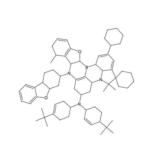 CC1CC=CC2=C1C1C(O2)B2C3=C(CC(N(C4C=CC(C(C)(C)C)CC4)C4CC=C(C(C)(C)C)CC4)CC3N3C4C(=CC(C5CCCCC5)=CC24)C2(CCCCC2)C3(C)C)N1C1CCC2c3ccccc3OC2C1